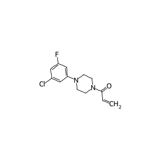 C=CC(=O)N1CCN(c2cc(F)cc(Cl)c2)CC1